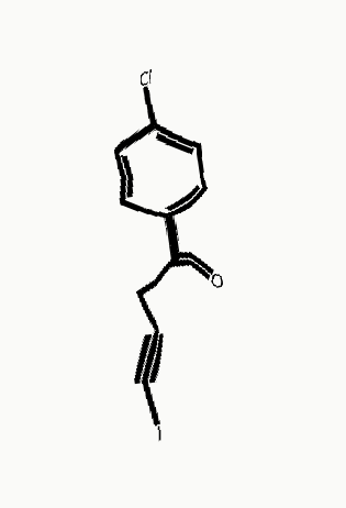 O=C(CC#CI)c1ccc(Cl)cc1